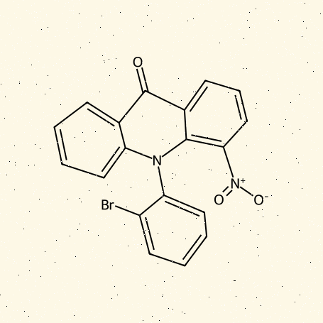 O=c1c2ccccc2n(-c2ccccc2Br)c2c([N+](=O)[O-])cccc12